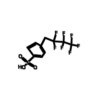 O=S(=O)(O)c1ccc(CC(F)(F)C(F)(F)C(F)(F)F)cc1